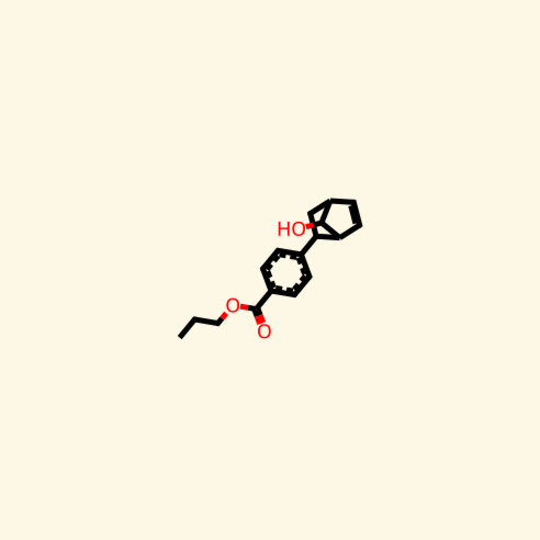 CCCOC(=O)c1ccc(C2CC3C=CC2C3O)cc1